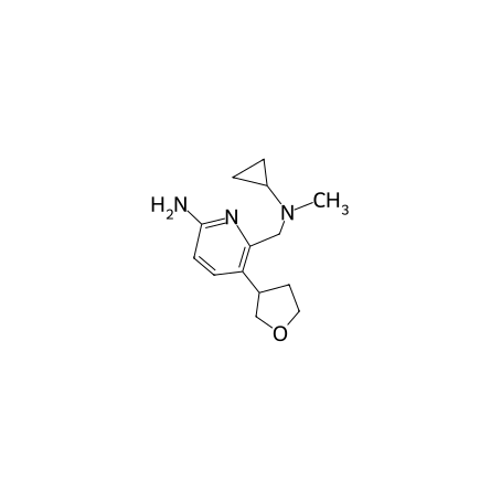 CN(Cc1nc(N)ccc1C1CCOC1)C1CC1